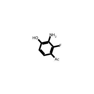 CC(=O)c1ccc(O)c(N)c1F